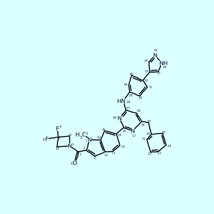 Cn1c(C(=O)N2CC(F)(F)C2)cc2ccc(-c3nc(Cc4ccccc4)cc(Nc4ccc(-c5cn[nH]c5)cc4)n3)cc21